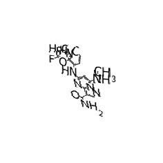 C=N/C(OC(F)F)=C(\C=C/C)Nc1cc(NC)n2ncc(C(N)=O)c2n1